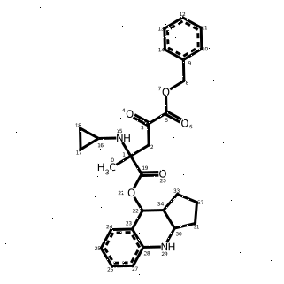 CC(CC(=O)C(=O)OCc1ccccc1)(NC1CC1)C(=O)OC1c2ccccc2NC2CCCC21